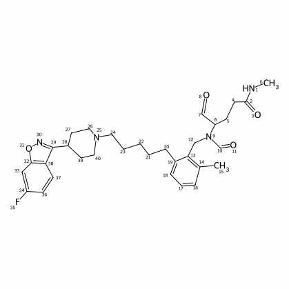 CNC(=O)CCC(C=O)N(C=O)Cc1c(C)cccc1CCCCCN1CCC(c2noc3cc(F)ccc23)CC1